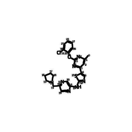 Cc1cc(-c2cnc(Nc3cnc(CN4CCCC4)cn3)s2)nc(Oc2ccccc2Cl)n1